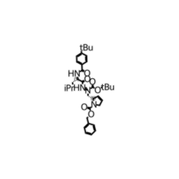 CC(C)C[C@H](NC(=O)c1ccc(C(C)(C)C)cc1)C(=O)NN(C[C@@H]1C=CCN1C(=O)OCc1ccccc1)C(=O)OC(C)(C)C